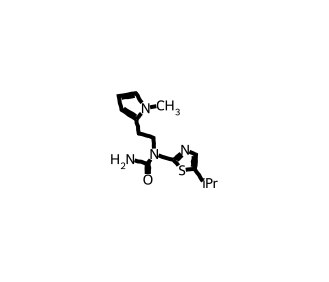 CC(C)c1cnc(N(CCc2cccn2C)C(N)=O)s1